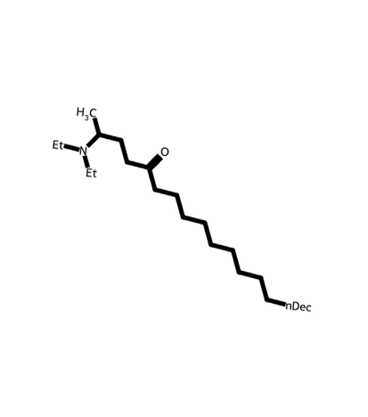 CCCCCCCCCCCCCCCCCCCC(=O)CCC(C)N(CC)CC